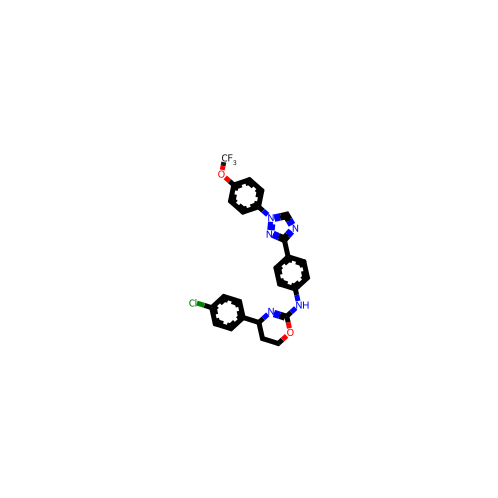 FC(F)(F)Oc1ccc(-n2cnc(-c3ccc(NC4=NC(c5ccc(Cl)cc5)CCO4)cc3)n2)cc1